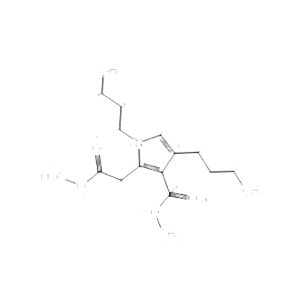 CCCCc1cn(CCCO)c(CC(=O)OC)c1C(=O)OC